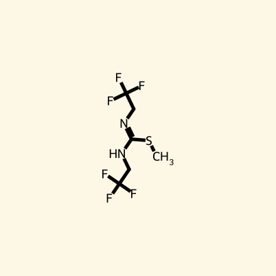 CS/C(=N\CC(F)(F)F)NCC(F)(F)F